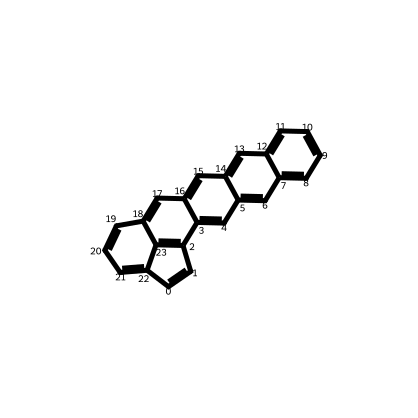 C1=Cc2c3cc4cc5ccccc5cc4cc3cc3cccc1c23